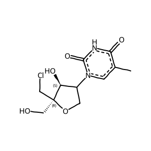 Cc1cn(C2CO[C@@](CO)(CCl)[C@H]2O)c(=O)[nH]c1=O